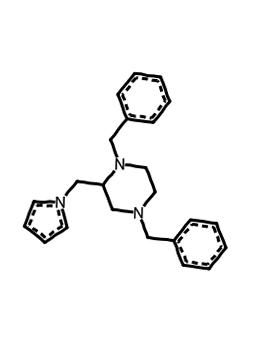 c1ccc(CN2CCN(Cc3ccccc3)C(Cn3cccc3)C2)cc1